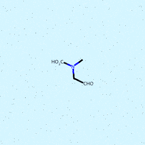 CN(CC=O)C(=O)O